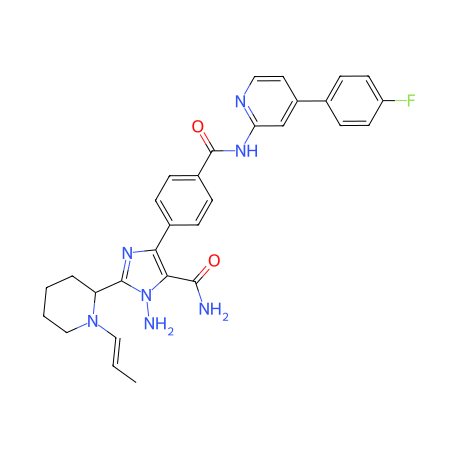 CC=CN1CCCCC1c1nc(-c2ccc(C(=O)Nc3cc(-c4ccc(F)cc4)ccn3)cc2)c(C(N)=O)n1N